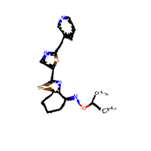 CC(C)O/N=C1\CCCc2sc(-c3cnc(-c4cccnc4)s3)nc21